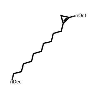 CCCCCCCCCCCCCCCCCCCCC1=C(CCCCCCCC)C1